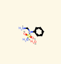 NCN(c1ccccc1)S(N)(=O)=O.O